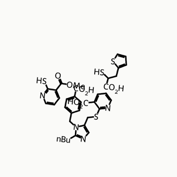 CCCCc1ncc(CSc2ncccc2C(=O)O)n1Cc1ccc(C(=O)O)cc1.COC(=O)c1cccnc1S.O=C(O)C(S)Cc1cccs1